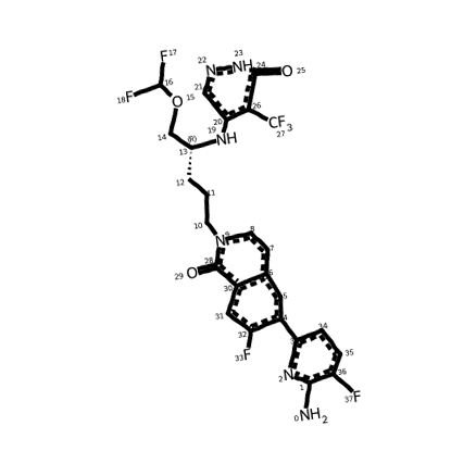 Nc1nc(-c2cc3ccn(CCC[C@H](COC(F)F)Nc4cn[nH]c(=O)c4C(F)(F)F)c(=O)c3cc2F)ccc1F